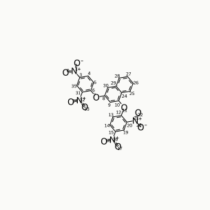 O=[N+]([O-])c1ccc(Oc2cc(Oc3ccc([N+](=O)[O-])cc3[N+](=O)[O-])c3ccccc3c2)c([N+](=O)[O-])c1